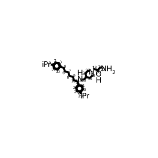 CC(C)c1ccc(CCCCCCC(NCC2CCN(CC(O)CN)CC2)c2ccc(C(C)C)cc2)cc1